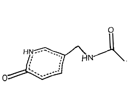 [CH2]C(=O)NCc1ccc(=O)[nH]c1